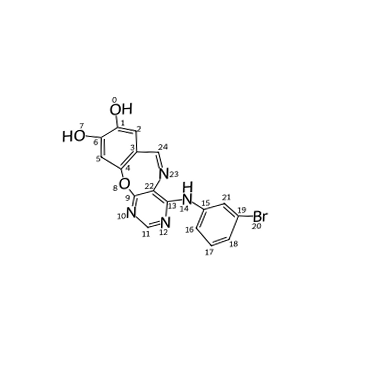 Oc1cc2c(cc1O)Oc1ncnc(Nc3cccc(Br)c3)c1N=C2